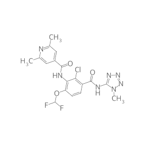 Cc1cc(C(=O)Nc2c(OC(F)F)ccc(C(=O)Nc3nnnn3C)c2Cl)cc(C)n1